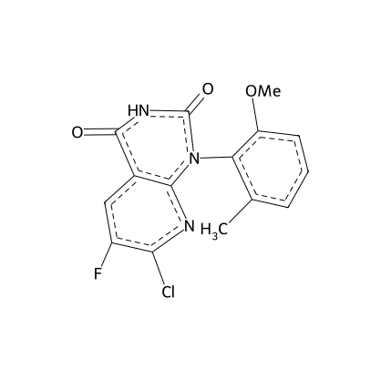 COc1cccc(C)c1-n1c(=O)[nH]c(=O)c2cc(F)c(Cl)nc21